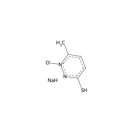 Cc1ccc(S)n[n+]1[O-].[NaH]